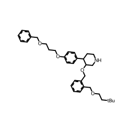 CC(C)(C)CCOCc1ccccc1COC1CNCCC1c1ccc(OCCCOCc2ccccc2)cc1